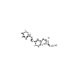 C[C@@H](Cc1cccc(OCc2ccccc2)c1)NC(=O)O